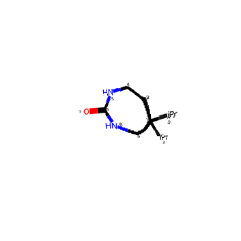 CC(C)C1(C(C)C)CCNC(=O)NC1